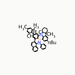 CCCCc1cc2c3c(c1)C1(C)CCCCC1(C)N3c1cc(-c3c(C)cc(C)cc3C)cc3c1B2N(c1ccccc1)c1c-3ccc2ccccc12